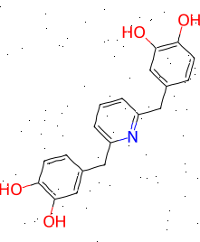 Oc1ccc(Cc2cccc(Cc3ccc(O)c(O)c3)n2)cc1O